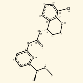 CO[C@@H](C)c1cccc(NC(=O)N[C@H]2CCOc3c(Cl)cccc32)n1